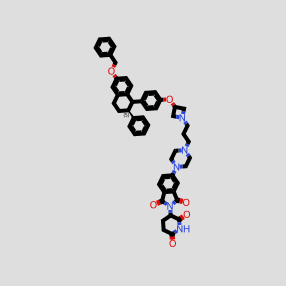 O=C1CCC(N2C(=O)c3ccc(N4CCN(CCCN5CC(Oc6ccc(C7c8ccc(OCc9ccccc9)cc8CC[C@@H]7c7ccccc7)cc6)C5)CC4)cc3C2=O)C(=O)N1